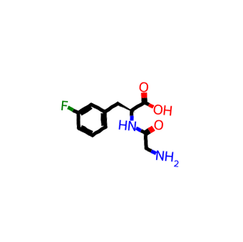 NCC(=O)N[C@@H](Cc1cccc(F)c1)C(=O)O